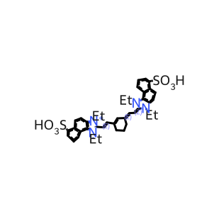 CCN1/C(=C/C=C2C=C(/C=C/c3n(CC)c4c5cccc(S(=O)(=O)O)c5ccc4[n+]3CC)CCC/2)N(CC)c2c1ccc1c(S(=O)(=O)O)cccc21